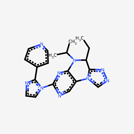 CCC1c2nncn2-c2cnc(-n3ccnc3-c3ccncc3)nc2N1C(C)C